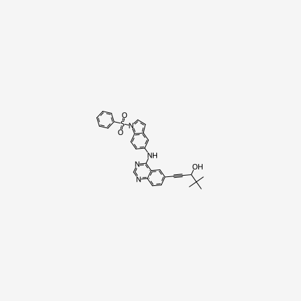 CC(C)(C)C(O)C#Cc1ccc2ncnc(Nc3ccc4c(ccn4S(=O)(=O)c4ccccc4)c3)c2c1